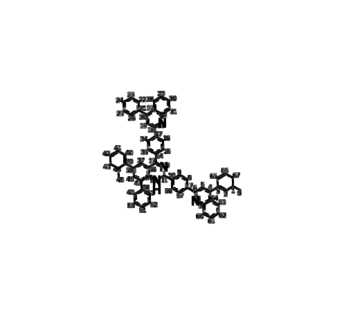 CC1C=C(c2cc(-c3ccc(C4N=C(c5ccc(-c6cc(-c7ccccc7)c7ccccc7n6)cc5)c5cc(C6=CC=CCC6C)cc(-c6ccccc6)c5N4)cc3)nc3ccccc23)C=CC1